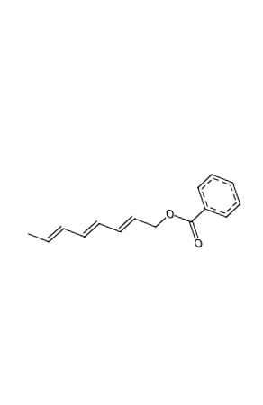 CC=CC=CC=CCOC(=O)c1ccccc1